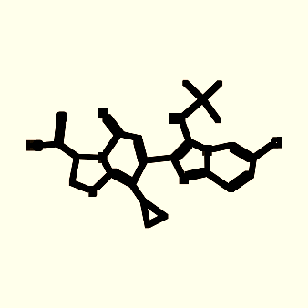 CC(C)(C)Nc1c(-c2cc(=O)n3c(c2C2CC2)SCC3C(=O)O)nc2ccc(Cl)cn12